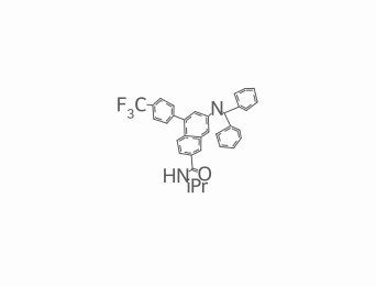 CC(C)NC(=O)c1ccc2c(-c3ccc(C(F)(F)F)cc3)cc(N=C(c3ccccc3)c3ccccc3)cc2c1